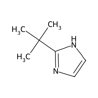 CC(C)(C)c1ncc[nH]1